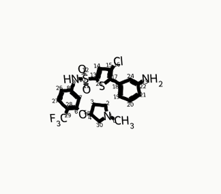 CN1CC[C@@H](Oc2cc(NS(=O)(=O)c3cc(Cl)c(-c4cccc(N)c4)s3)ccc2C(F)(F)F)C1